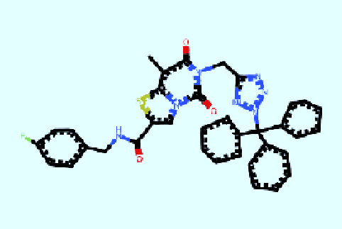 Cc1c(=O)n(Cc2nnn(C(c3ccccc3)(c3ccccc3)c3ccccc3)n2)c(=O)n2cc(C(=O)NCc3ccc(F)cc3)sc12